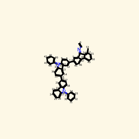 C=C/N=C1/c2cc(-c3ccc4c(c3)c3cc(-c5ccc6c(c5)c5ccccc5n6-c5ccccc5)ccc3n4-c3ccccc3)ccc2-c2cccc(C)c21